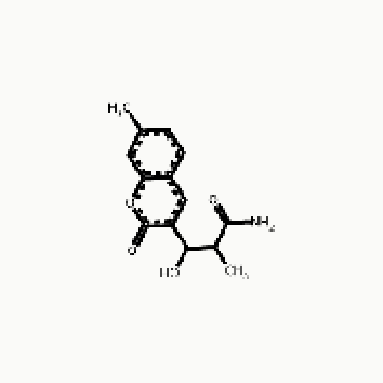 Cc1ccc2cc(C(O)C(C)C(N)=O)c(=O)oc2c1